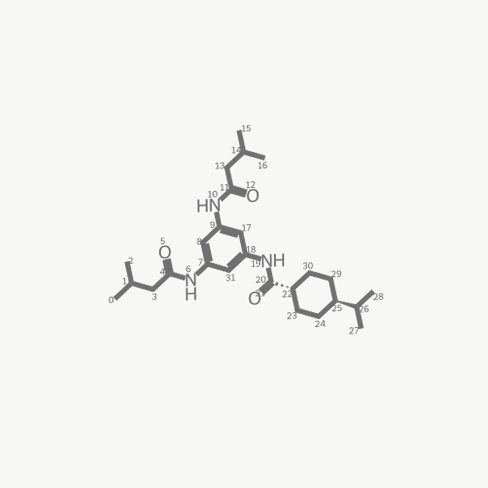 CC(C)CC(=O)Nc1cc(NC(=O)CC(C)C)cc(NC(=O)[C@H]2CC[C@H](C(C)C)CC2)c1